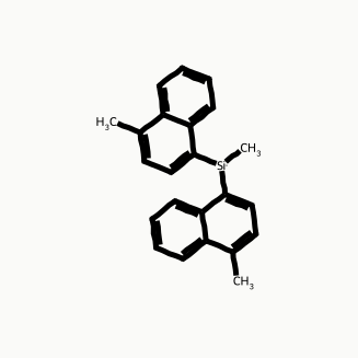 Cc1ccc([Si](C)c2ccc(C)c3ccccc23)c2ccccc12